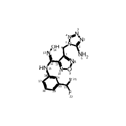 Nc1nnnn1Cc1nonc1/C(=N\O)Nc1cccc(C(F)F)c1